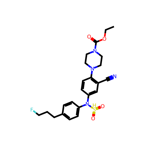 CCOC(=O)N1CCN(c2ccc(N(c3ccc(CCCF)cc3)[SH](=O)=O)cc2C#N)CC1